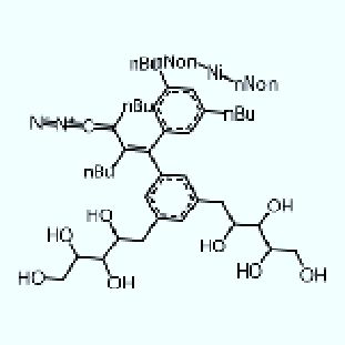 CCCCC(=C=[N+]=[N-])C(CCCC)=C(c1cc(CCCC)cc(CCCC)c1)c1cc(CC(O)C(O)C(O)CO)cc(CC(O)C(O)C(O)CO)c1.CCCCCCCC[CH2][Ni][CH2]CCCCCCCC